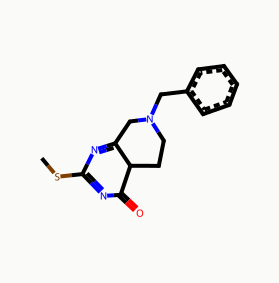 CSC1=NC(=O)C2CCN(Cc3ccccc3)CC2=N1